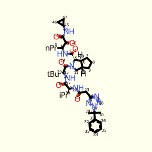 CCCC(NC(=O)[C@@H]1[C@H]2CCC[C@H]2CN1C(=O)[C@H](NC(=O)[C@@H](NC(=O)Cc1nnn(C(C)(C)c2ccccc2)n1)C(C)C)C(C)(C)C)C(=O)C(=O)NC1CC1